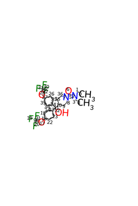 CCN(CC)C(=O)N1CCC(C(O)(c2ccc(OC(F)(F)F)cc2)c2ccc(OC(F)(F)F)cc2)CC1